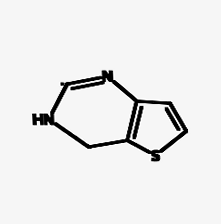 [C]1=Nc2ccsc2CN1